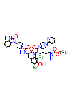 CC(C)(C)OC(=O)NCCCC[C@H](NC(=O)[C@@H](Cc1cc(Br)c(O)c(Br)c1)NC(=O)N1CCC(n2c(=O)[nH]c3ccccc32)CC1)C(=O)N1CCN(c2ccccn2)CC1